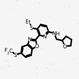 CCSc1ccc(NCC2CCCO2)nc1-c1nc2cc(SC(F)(F)F)ccc2o1